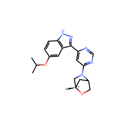 CC(C)Oc1ccc2[nH]nc(-c3cc(N4C[C@@H]5CC4CO5)ncn3)c2c1